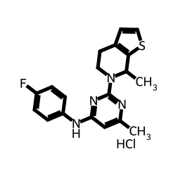 Cc1cc(Nc2ccc(F)cc2)nc(N2CCc3ccsc3C2C)n1.Cl